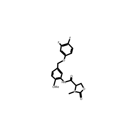 COc1ccc(COc2ccc(F)c(F)c2)cc1NC(=O)C1COC(=O)N1C